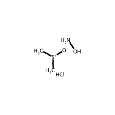 C[S+](C)[O-].Cl.NO